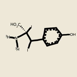 [3H]N([3H])[C@](I)(C(=O)O)C(I)c1ccc(O)cc1